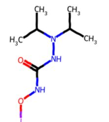 CC(C)N(NC(=O)NOI)C(C)C